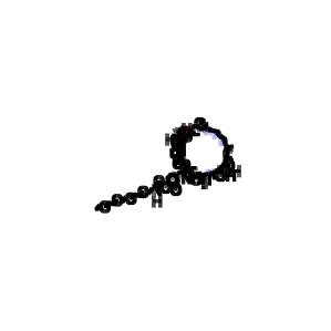 CCOCCOCCOCCOCCNC(=O)O[C@@H]1CC[C@@H](C[C@@H](N)[C@@H]2C[C@@H](O)[C@H](C)/C=C(\C)[C@@H](O)[C@@H](O)C(=O)[C@H](C)C[C@H](C)/C=C/C=C/C=C(\C)[C@@H](OC)C[C@@H]3CC[C@@H](C)C(=O)C(O)(O3)C(=O)N3CCCC[C@H]3C(=O)O2)C[C@H]1OC